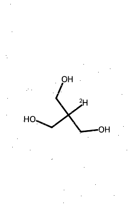 [2H]C(CO)(CO)CO